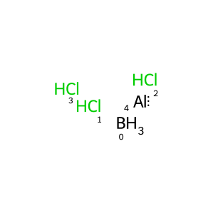 B.Cl.Cl.Cl.[Al]